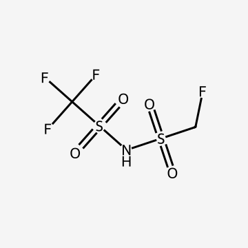 O=S(=O)(CF)NS(=O)(=O)C(F)(F)F